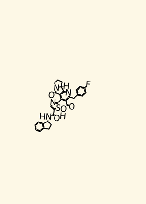 O=C(N[C@@H]1CCc2ccccc21)c1cnc(-c2c(C(=O)O)c(Cc3ccc(F)cc3)nc3c2C(=O)N2CCC[C@@H]32)s1